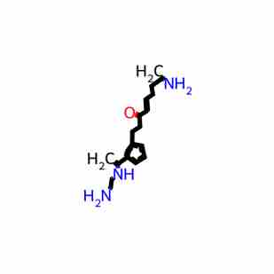 C=C(N)CC/C=C/C(=O)CCc1cccc(C(=C)NCCN)c1